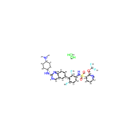 CN(C)C1CCC(Nc2ncc3cc(-c4c(F)ccc(NS(=O)(=O)c5cccnc5OC(F)F)c4F)ccc3n2)CC1.Cl.Cl